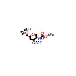 COC1C[C@@H](CO[Si](C)(C)C(C)(C)C)OC[C@@H]1NC(=O)OC(C)(C)C